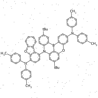 Cc1ccc(N(c2ccc(C)cc2)c2ccc3c(c2)Oc2cc(C(C)(C)C)cc4c2B3c2cc(C(C)(C)C)ccc2N4c2ccc(N(c3ccc(C)cc3)c3ccc(C)cc3)c3oc4ccccc4c23)cc1